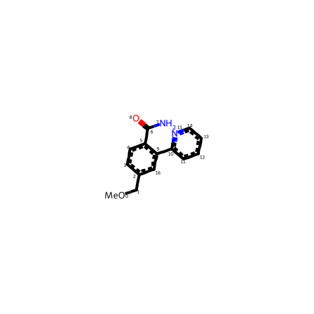 COCc1ccc(C(N)=O)c(-c2ccccn2)c1